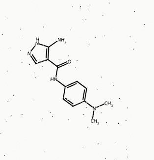 CN(C)c1ccc(NC(=O)c2cn[nH]c2N)cc1